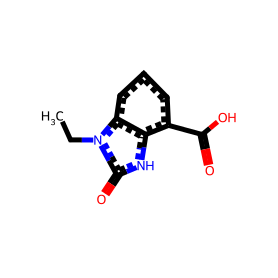 CCn1c(=O)[nH]c2c(C(=O)O)cccc21